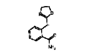 NC(=O)c1ccccc1[CH]C1=NCCO1